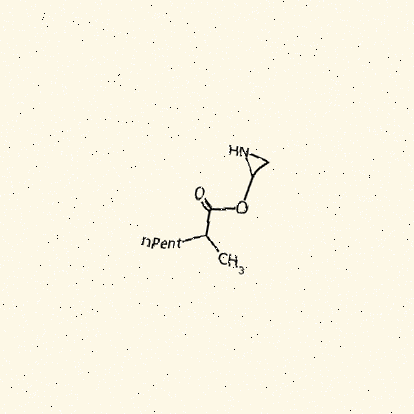 CCCCCC(C)C(=O)OC1CN1